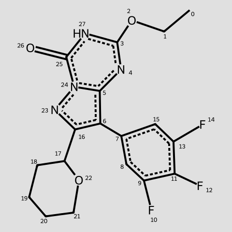 CCOc1nc2c(-c3cc(F)c(F)c(F)c3)c(C3CCCCO3)nn2c(=O)[nH]1